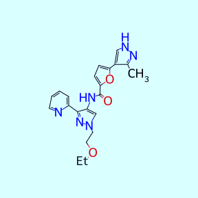 CCOCCn1cc(NC(=O)c2ccc(-c3c[nH]nc3C)o2)c(-c2ccccn2)n1